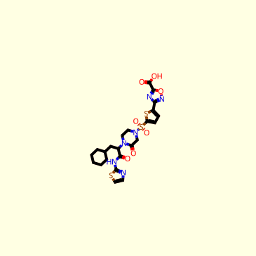 O=C(O)c1nc(-c2ccc(S(=O)(=O)N3CCN(C(CC4CCCCC4)C(=O)Nc4nccs4)C(=O)C3)s2)no1